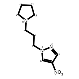 O=[N+]([O-])c1cnn(CCCN2CCCC2)c1